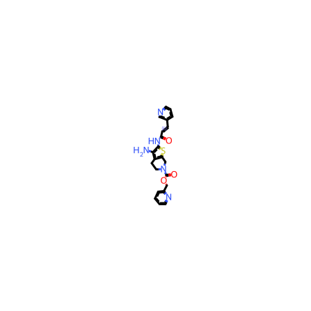 Nc1c(NC(=O)/C=C/c2cccnc2)sc2c1CCN(C(=O)OCc1ccccn1)C2